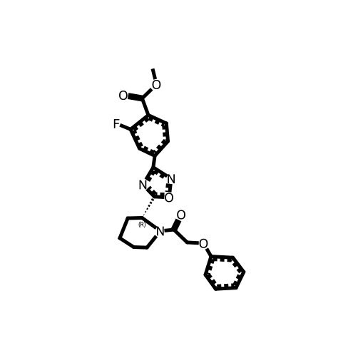 COC(=O)c1ccc(-c2noc([C@H]3CCCCN3C(=O)COc3ccccc3)n2)cc1F